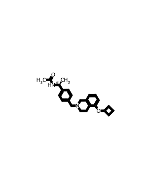 CC(=O)N[C@@H](C)c1ccc(CN2CCc3c(cccc3OC3CCC3)C2)cc1